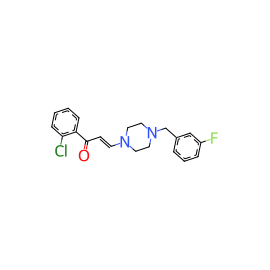 O=C(C=CN1CCN(Cc2cccc(F)c2)CC1)c1ccccc1Cl